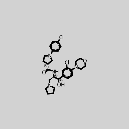 O=C(N[C@H](CN1CCCC1)[C@H](O)c1ccc(N2CCOCC2)c(Cl)c1)[C@@H]1CCN(c2ccc(Cl)cc2)C1